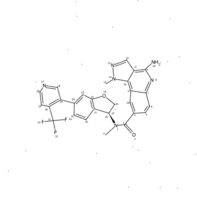 CN(C(=O)c1ccc2nc(N)c3cnn(C)c3c2c1)[C@@H]1COc2cc(-c3cnccc3C(F)(F)F)ccc21